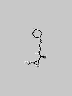 CC1OC1C(=O)NCCOC1CCCCC1